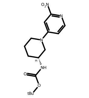 CC(C)(C)OC(=O)N[C@@H]1CCCN(c2ccnc([N+](=O)[O-])c2)C1